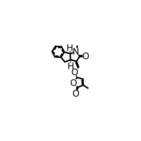 CC1=C[C@H](O/C=C2/C(=O)N(C)[C@@H]3c4ccccc4C[C@H]23)OC1=O